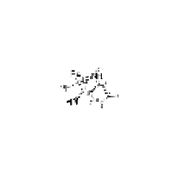 CNc1cc(C)ccc1C(=N)C(F)(F)F